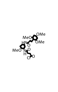 COc1cc(OC)c(C=CC(=O)Nc2ccc(OC)c(NC(=O)CCC(=O)Cl)c2)c(OC)c1